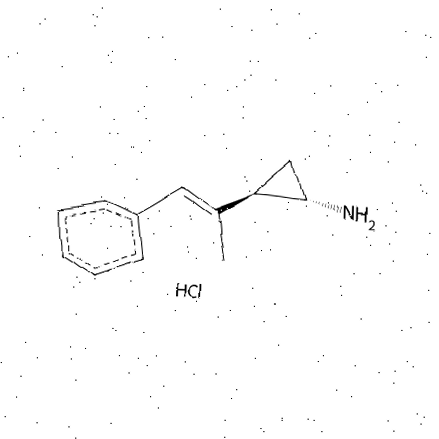 C/C(=C\c1ccccc1)[C@H]1C[C@@H]1N.Cl